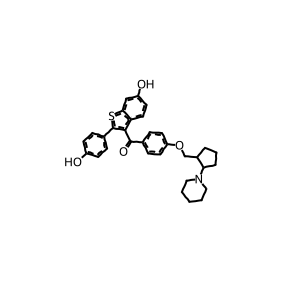 O=C(c1ccc(OCC2CCCC2N2CCCCC2)cc1)c1c(-c2ccc(O)cc2)sc2cc(O)ccc12